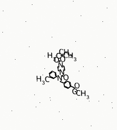 COC(=O)c1ccc(CN(C(=O)N2CCN(C(=O)OC(C)(C)C)CC2)c2cccc(C)c2)cc1